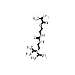 C=C(C)C(=O)OCCNC(=O)NCCN(C(C)C)C(C)C